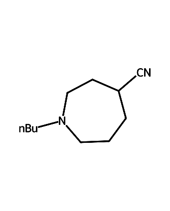 CCCCN1CCCC(C#N)CC1